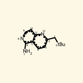 CC(C)(C)Cc1ccc2c(N)nccc2n1